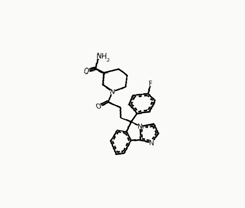 NC(=O)C1CCCN(C(=O)CCC2(c3ccc(F)cc3)c3ccccc3-c3nccn32)C1